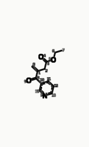 C=C(CC(=O)OCC)C(=O)c1cccnc1